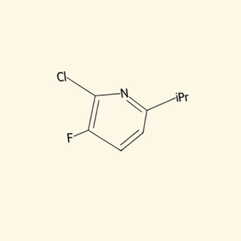 CC(C)c1ccc(F)c(Cl)n1